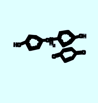 Nc1ccc(O)cc1.O=C1C=CC(=O)C=C1.Oc1ccc(O)cc1